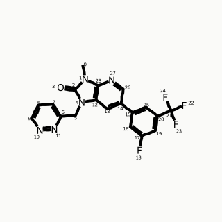 Cn1c(=O)n(Cc2cccnn2)c2cc(-c3cc(F)cc(C(F)(F)F)c3)cnc21